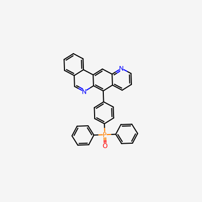 O=P(c1ccccc1)(c1ccccc1)c1ccc(-c2c3cccnc3cc3c2ncc2ccccc23)cc1